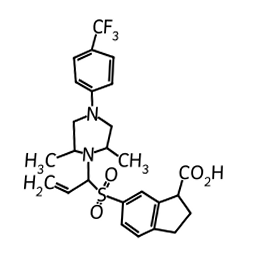 C=CC(N1C(C)CN(c2ccc(C(F)(F)F)cc2)CC1C)S(=O)(=O)c1ccc2c(c1)C(C(=O)O)CC2